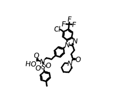 Cc1ccc(S(=O)(=O)N(CCc2ccc(-n3c(CCC(=O)N4CCCCC4)nc4cc(C(F)(F)F)c(Cl)cc43)cc2)C(=O)O)cc1